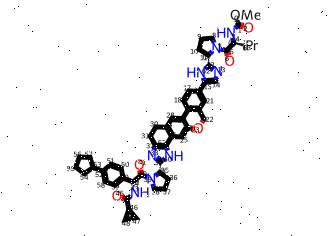 COC(=O)N[C@H](C(=O)N1CCC[C@H]1c1ncc(-c2ccc3c(c2)COc2cc4c(cc2-3)CCc2nc([C@@H]3CCCN3C(=O)[C@H](NC(=O)C3CC3)c3ccc(C5CCCC5)cc3)[nH]c2-4)[nH]1)C(C)C